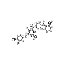 COc1nc(OCc2ccc(Cl)c(F)c2)c(C)c(C(=O)N2CCC(N[C@H]3CCCC[C@H]3OC)CC2)n1